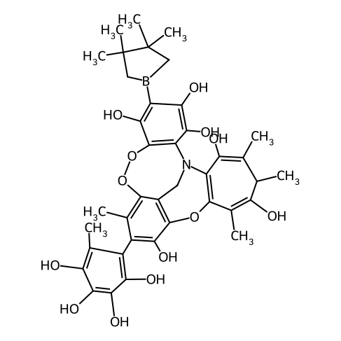 CC1=C(O)C(C)C(C)=C(O)C2=C1Oc1c(O)c(-c3c(C)c(O)c(O)c(O)c3O)c(C)c3c1CN2c1c(O)c(O)c(B2CC(C)(C)C(C)(C)C2)c(O)c1OO3